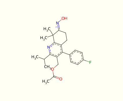 CC(=O)OCc1c(C(C)C)nc2c(c1-c1ccc(F)cc1)CC/C(=N\O)C2(C)C